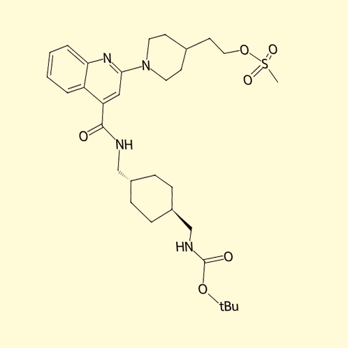 CC(C)(C)OC(=O)NC[C@H]1CC[C@H](CNC(=O)c2cc(N3CCC(CCOS(C)(=O)=O)CC3)nc3ccccc23)CC1